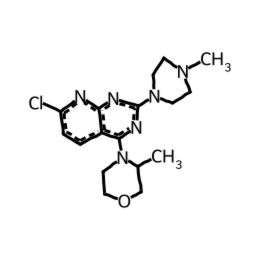 CC1COCCN1c1nc(N2CCN(C)CC2)nc2nc(Cl)ccc12